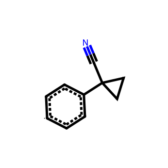 N#CC1(c2cc[c]cc2)CC1